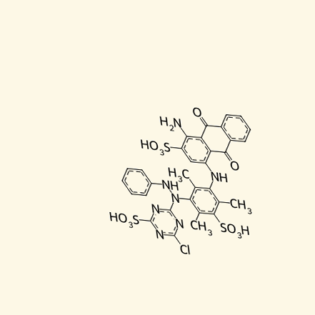 Cc1c(Nc2cc(S(=O)(=O)O)c(N)c3c2C(=O)c2ccccc2C3=O)c(C)c(S(=O)(=O)O)c(C)c1N(Nc1ccccc1)c1nc(Cl)nc(S(=O)(=O)O)n1